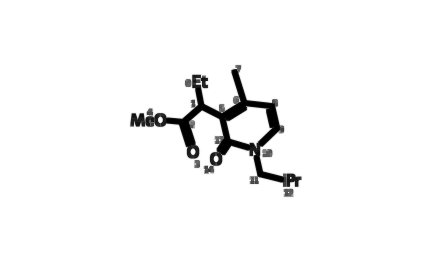 CCC(C(=O)OC)c1c(C)ccn(CC(C)C)c1=O